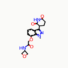 Cn1nc(C2CCC(=O)NC2=O)c2cccc(OCC(=O)NC3COC3)c21